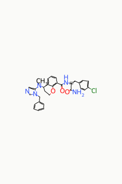 CN(c1cncn1Cc1ccccc1)C1CCOc2c(C(=O)N[C@@H](Cc3ccc(Cl)cc3)C(N)=O)cccc21